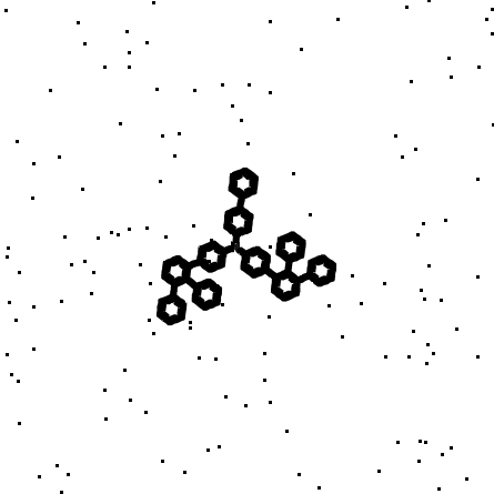 c1ccc(-c2ccc(N(c3ccc(-c4cccc(-c5ccccc5)c4-c4ccccc4)cc3)c3ccc(-c4cccc(-c5ccccc5)c4-c4ccccc4)cc3)cc2)cc1